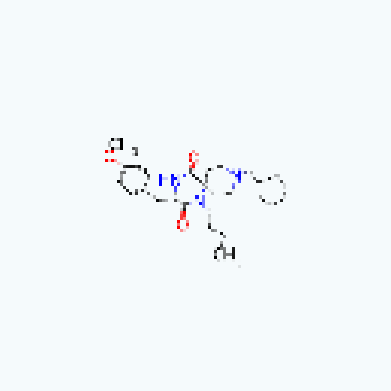 CCCCN1C(=O)[C@@H](Cc2ccc(OC)cc2)NC(=O)C12CCN(CC1CCCCC1)CC2